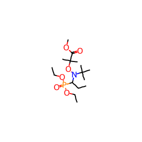 CCOP(=O)(OCC)C(CC)N(OC(C)(C)C(=O)OC)C(C)(C)C